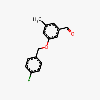 Cc1cc(C=O)cc(OCc2ccc(F)cc2)c1